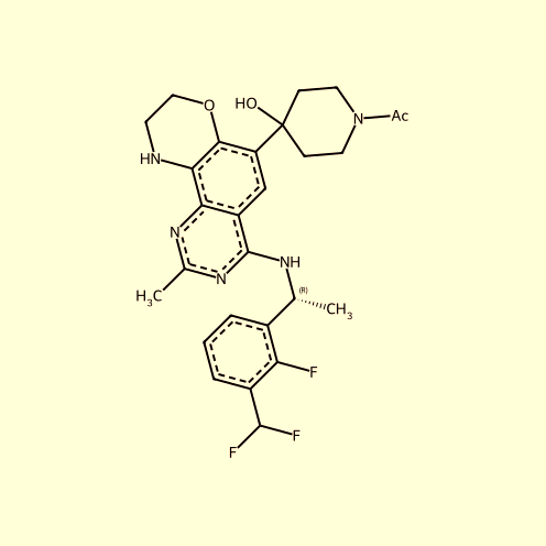 CC(=O)N1CCC(O)(c2cc3c(N[C@H](C)c4cccc(C(F)F)c4F)nc(C)nc3c3c2OCCN3)CC1